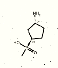 CP(=O)(O)[C@@H]1CC[C@@H](N)C1